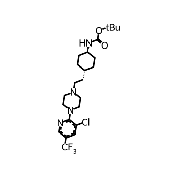 CC(C)(C)OC(=O)N[C@H]1CC[C@H](CCN2CCN(c3ncc(C(F)(F)F)cc3Cl)CC2)CC1